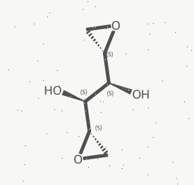 O[C@@H]([C@H](O)[C@@H]1CO1)[C@@H]1CO1